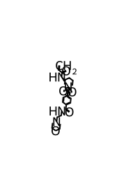 C=CC(=O)N[C@H]1CCCN(S(=O)(=O)c2ccc(C(=O)NCCN3CCOCC3)cc2)C1